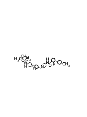 Cc1ccc(-c2cccc(C(=O)NC3CCN(Cc4ccc(N5CCC(NC(=O)OC(C)(C)C)CC5)nc4)CC3)c2F)cc1